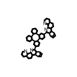 c1ccc2c(c1)-c1ccccc1-c1cc(-c3nc4c(ccc5cccnc54)c4c3C3CCC4C3)ccc1-c1ccc(-c3nc4c(ccc5cccnc54)c4c3C3CCC4C3)cc1-2